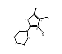 Cc1oc(C2CCCCC2)[n+]([O-])c1C